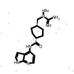 CCCCN(C[C@H]1CC[C@H](C(=O)Nc2ccnc3[nH]ccc23)CC1)C(=N)N